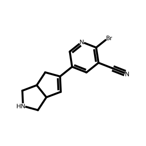 N#Cc1cc(C2=CC3CNCC3C2)cnc1Br